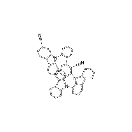 N#Cc1ccc2c3ccccc3n(-c3ccccc3-c3cccc(-n4c5ccccc5c5cccc(-n6c7ccccc7c7ccccc76)c54)c3C#N)c2c1